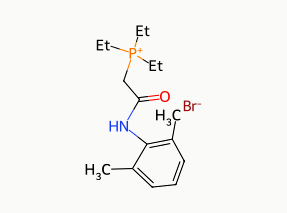 CC[P+](CC)(CC)CC(=O)Nc1c(C)cccc1C.[Br-]